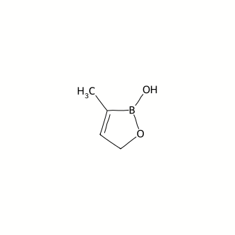 CC1=CCOB1O